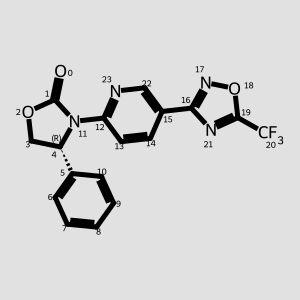 O=C1OC[C@@H](c2ccccc2)N1c1ccc(-c2noc(C(F)(F)F)n2)cn1